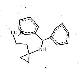 O=C(O)CCC1(NC(c2ccccc2)c2ccccc2)CC1